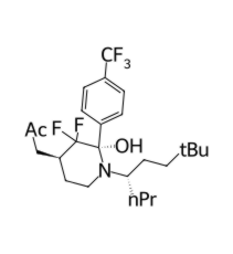 CCC[C@@H](CCC(C)(C)C)N1CC[C@@H](CC(C)=O)C(F)(F)[C@@]1(O)c1ccc(C(F)(F)F)cc1